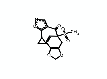 CS(=O)(=O)C1(C(=O)c2cnoc2C2CC2)C=CC2=C(C1)OCO2